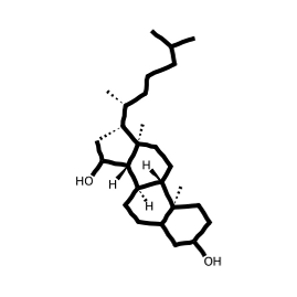 CC(C)CCC[C@@H](C)[C@H]1CC(O)[C@H]2[C@@H]3CCC4CC(O)CC[C@]4(C)[C@H]3CC[C@]12C